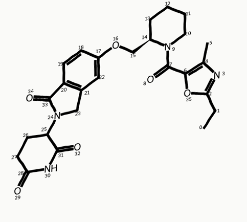 CCc1nc(C)c(C(=O)N2CCCC[C@@H]2COc2ccc3c(c2)CN(C2CCC(=O)NC2=O)C3=O)o1